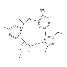 CCc1nn(C)c2c1-c1cnc(N)c(c1)OC(C)c1cc(C)ccc1-c1nn(C)cc1C2